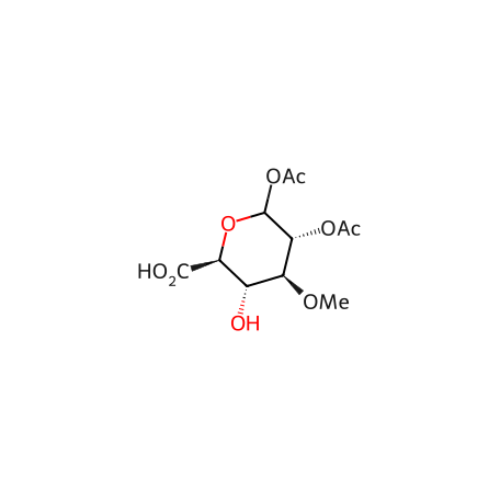 CO[C@H]1[C@H](O)[C@@H](C(=O)O)OC(OC(C)=O)[C@@H]1OC(C)=O